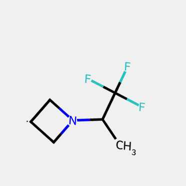 CC(N1C[CH]C1)C(F)(F)F